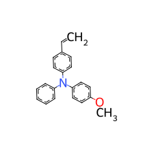 C=Cc1ccc(N(c2ccccc2)c2ccc(OC)cc2)cc1